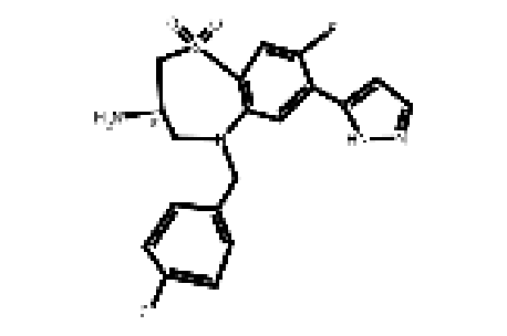 N[C@@H]1CN(Cc2ccc(Cl)cc2)c2cc(-c3ccn[nH]3)c(F)cc2S(=O)(=O)C1